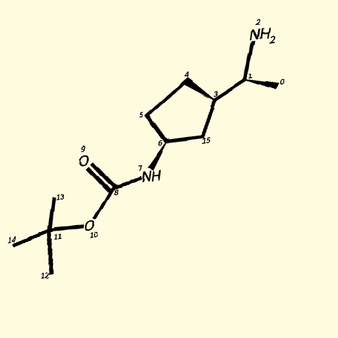 C[C@H](N)[C@@H]1CC[C@H](NC(=O)OC(C)(C)C)C1